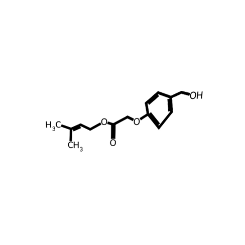 CC(C)=CCOC(=O)COc1ccc(CO)cc1